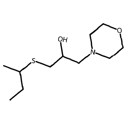 CCC(C)SCC(O)CN1CCOCC1